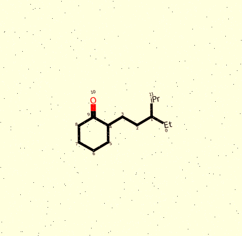 CCC(CCC1CCCCC1=O)C(C)C